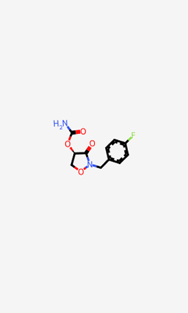 NC(=O)O[C@@H]1CON(Cc2ccc(F)cc2)C1=O